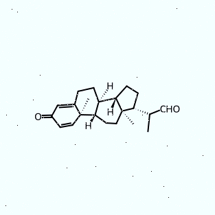 CC(C=O)[C@H]1CC[C@H]2[C@@H]3CCC4=CC(=O)C=C[C@]4(C)[C@H]3CC[C@]12C